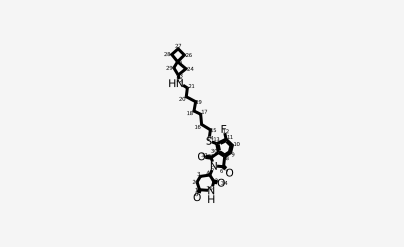 O=C1CCC(N2C(=O)c3ccc(F)c(SCCCCCCCNC4CC5(CCC5)C4)c3C2=O)C(=O)N1